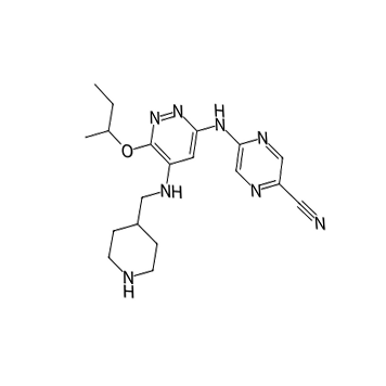 CCC(C)Oc1nnc(Nc2cnc(C#N)cn2)cc1NCC1CCNCC1